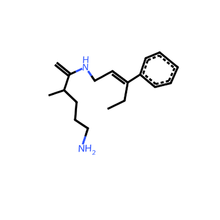 C=C(NC/C=C(\CC)c1ccccc1)C(C)CCCN